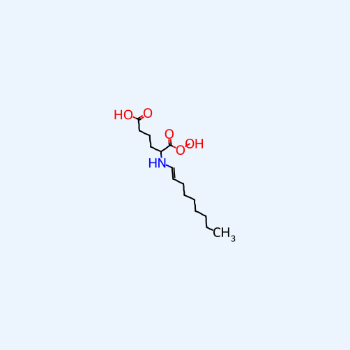 CCCCCCCC=CNC(CCCC(=O)O)C(=O)OO